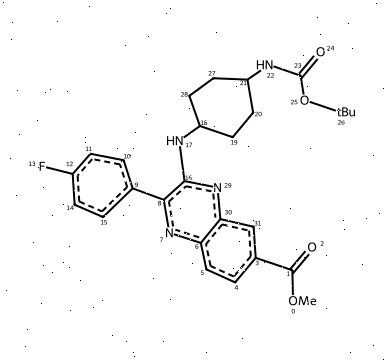 COC(=O)c1ccc2nc(-c3ccc(F)cc3)c(NC3CCC(NC(=O)OC(C)(C)C)CC3)nc2c1